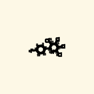 Fc1ccc(-c2nc(Cl)c(Cl)c(Cl)c2Cl)cc1